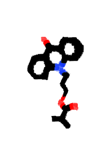 C=C(C)C(=O)OCCCn1c2ccccc2c(=O)c2ccccc21